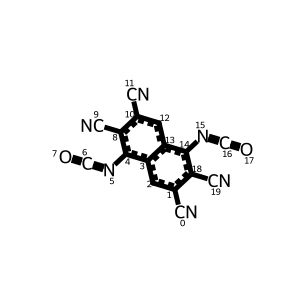 N#Cc1cc2c(N=C=O)c(C#N)c(C#N)cc2c(N=C=O)c1C#N